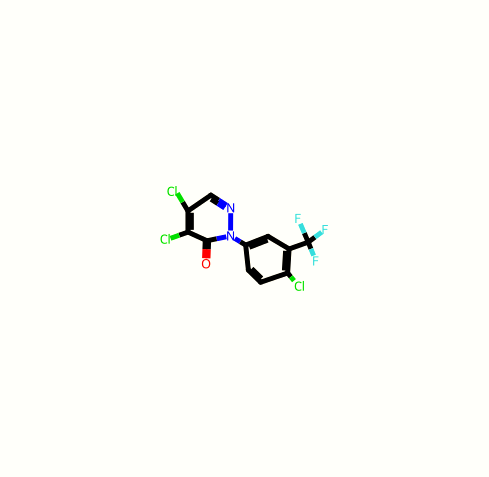 O=c1c(Cl)c(Cl)cnn1-c1ccc(Cl)c(C(F)(F)F)c1